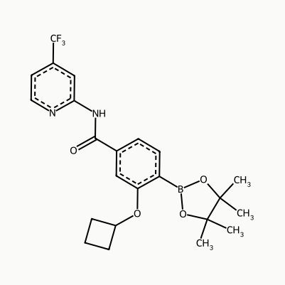 CC1(C)OB(c2ccc(C(=O)Nc3cc(C(F)(F)F)ccn3)cc2OC2CCC2)OC1(C)C